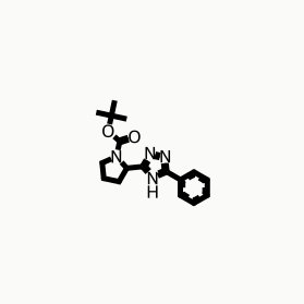 CC(C)(C)OC(=O)N1CCCC1c1nnc(-c2ccccc2)[nH]1